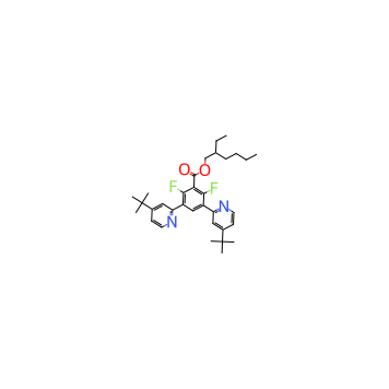 CCCCC(CC)COC(=O)c1c(F)c(-c2cc(C(C)(C)C)ccn2)cc(-c2cc(C(C)(C)C)ccn2)c1F